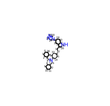 c1ccc(CN(Cc2ccccc2)[C@H]2CC[C@@H](CCc3c[nH]c4ccc(-n5cnnc5)cc34)CC2)cc1